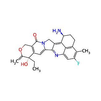 C=C1OCc2c(cc3n(c2=O)Cc2c-3nc3cc(F)c(C)c4c3c2[C@@H](N)CC4)[C@@]1(O)CC